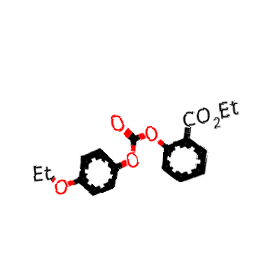 CCOC(=O)c1ccccc1OC(=O)Oc1ccc(OCC)cc1